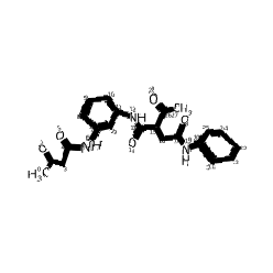 CC(=O)CC(=O)Nc1cccc(NC(=O)C(CC(=O)Nc2ccccc2)C(C)=O)c1